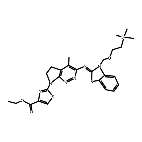 CCOC(=O)c1csc(N2CCc3c2nnc(/N=c2\sc4ccccc4n2COCC[Si](C)(C)C)c3C)n1